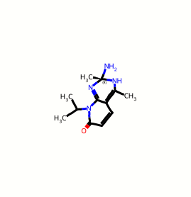 CC1=c2ccc(=O)n(C(C)C)c2=N[C@](C)(N)N1